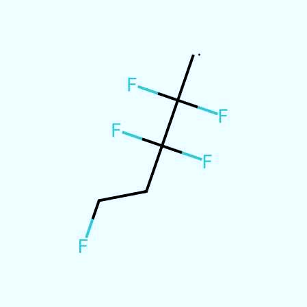 [CH2]C(F)(F)C(F)(F)CCF